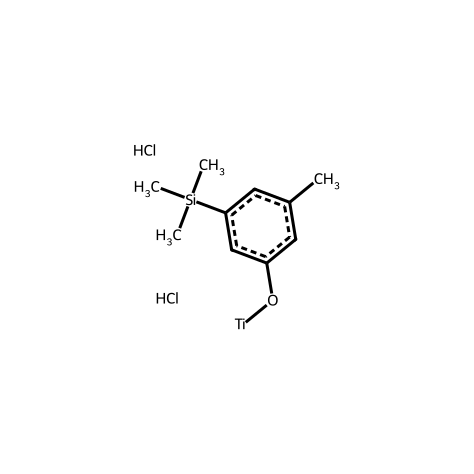 Cc1cc([O][Ti])cc([Si](C)(C)C)c1.Cl.Cl